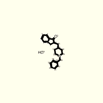 Cl.O=C1c2ccccc2CC1CC1CCN(Cc2ccccc2)CC1